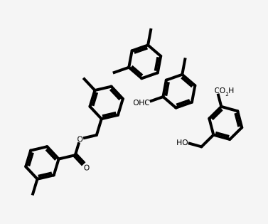 Cc1cccc(C)c1.Cc1cccc(C=O)c1.Cc1cccc(COC(=O)c2cccc(C)c2)c1.O=C(O)c1cccc(CO)c1